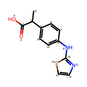 CC(C(=O)O)c1ccc(Nc2nccs2)cc1